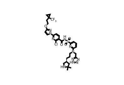 CC1(C)C[C@H](CCCN(Cc2nn[nH]n2)c2cccc(S(=O)(=O)NC(=O)c3ccc(-n4ccc(OCCC5(C(F)(F)F)CC5)n4)nc3Cl)n2)CN1